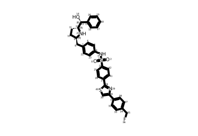 O=S(=O)(Nc1ccc(C[C@H]2CC[C@H]([C@H](O)c3ccccc3)N2)cc1)c1ccc(-c2nc(-c3ccc(CF)cc3)cs2)cc1